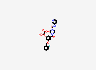 O=C(Nc1cccnc1)N1CCN(C(=O)c2cccc(OCc3ccccc3F)c2)CC1.O=C(O)C(=O)O